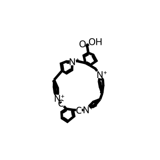 O=C(O)c1ccc2c(c1)C[n+]1ccc(cc1)-c1cc[n+](cc1)Cc1ccccc1C[n+]1ccc(cc1)-c1cc[n+](cc1)C2